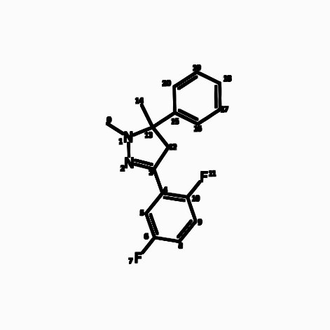 CN1N=C(c2cc(F)ccc2F)CC1(C)c1ccccc1